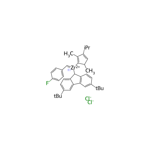 CC1=[C](/[Zr+2](=[CH]/c2ccc(F)cc2)[CH]2c3ccc(C(C)(C)C)cc3-c3cc(C(C)(C)C)ccc32)C(C)C=C1C(C)C.[Cl-].[Cl-]